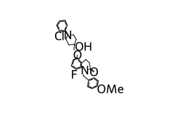 COc1ccc(CN2C(=O)CCc3c(OCC4(O)CCN(c5ccccc5Cl)CC4)ccc(F)c32)cc1